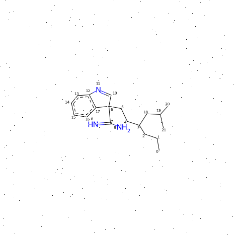 CCC[C](CCC1(C(=N)N)C=Nc2ccccc21)CC(C)C